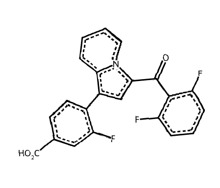 O=C(O)c1ccc(-c2cc(C(=O)c3c(F)cccc3F)n3ccccc23)c(F)c1